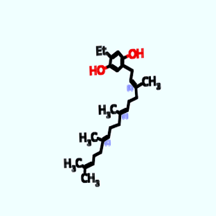 CCc1cc(O)c(C/C=C(\C)CC/C=C(\C)CC/C=C(\C)CCC=C(C)C)cc1O